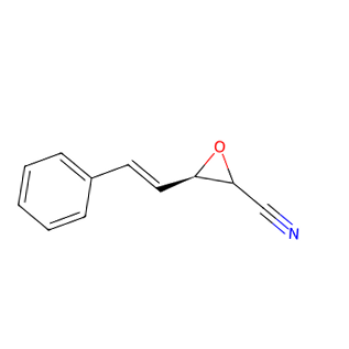 N#CC1O[C@@H]1/C=C/c1ccccc1